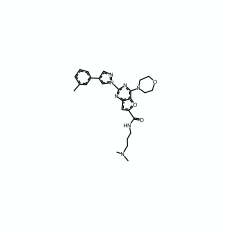 Cc1cccc(-c2cnn(-c3nc(N4CCOCC4)c4oc(C(=O)NCCCN(C)C)cc4n3)c2)c1